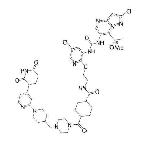 CO[C@@H](C)c1c(NC(=O)Nc2cc(Cl)cnc2OCCNC(=O)C2CCC(C(=O)N3CCN(CC4CCN(c5cc(C6CCC(=O)NC6=O)ccn5)CC4)CC3)CC2)cnc2cc(Cl)nn12